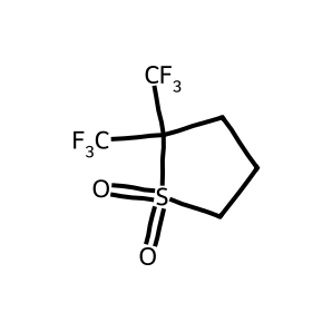 O=S1(=O)CCCC1(C(F)(F)F)C(F)(F)F